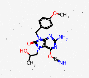 COc1ccc(Cn2c(=O)n(CC(C)O)c3c(OB=N)nc(N)nc32)cc1